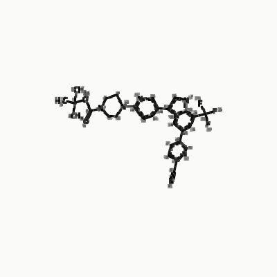 CC(C)(C)OC(=O)N1CCN(c2ccc(-c3cnc4c(C(F)(F)F)cc(-c5ccc(C#N)nc5)cn34)cn2)CC1